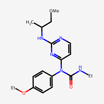 CCNC(=O)N(c1ccc(OCC)cc1)c1ccnc(NC(C)COC)n1